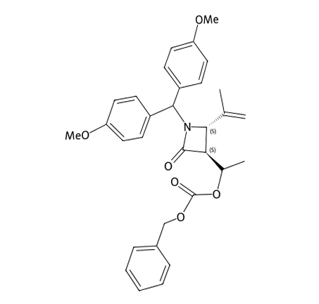 C=C(C)[C@@H]1[C@@H](C(C)OC(=O)OCc2ccccc2)C(=O)N1C(c1ccc(OC)cc1)c1ccc(OC)cc1